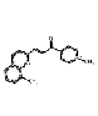 Cc1cccc2ccc(C=CC(=O)c3cc[n+](C)cc3)nc12